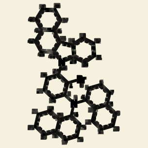 Brc1c(N(c2cccc3ccccc23)c2cccc3ccccc23)cccc1-n1c2ccccc2c2c3ccccc3ccc21